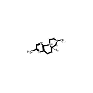 Cc1cnc2c(n1)CC[C@@H]1CN(C)CCN21